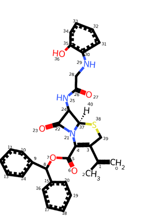 C=C(C)C1=C(C(=O)OC(c2ccccc2)c2ccccc2)N2C(=O)C(NC(=O)CNc3ccccc3O)[C@H]2SC1